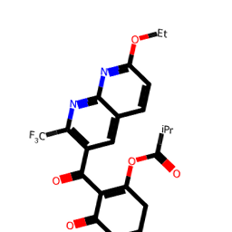 CCOc1ccc2cc(C(=O)C3=C(OC(=O)C(C)C)CCCC3=O)c(C(F)(F)F)nc2n1